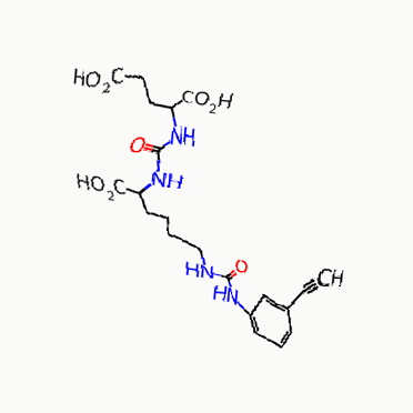 C#Cc1cccc(NC(=O)NCCCCC(NC(=O)NC(CCC(=O)O)C(=O)O)C(=O)O)c1